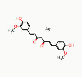 COc1cc(/C=C/C(=O)CC(=O)/C=C/c2ccc(O)c(OC)c2)ccc1O.[Ag]